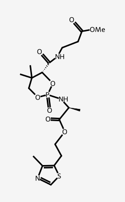 COC(=O)CCNC(=O)[C@@H]1OP(=O)(N[C@@H](C)C(=O)OCCc2scnc2C)OCC1(C)C